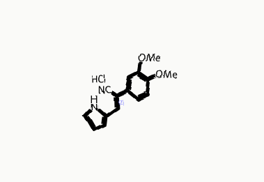 COc1ccc(/C(C#N)=C/c2ccc[nH]2)cc1OC.Cl